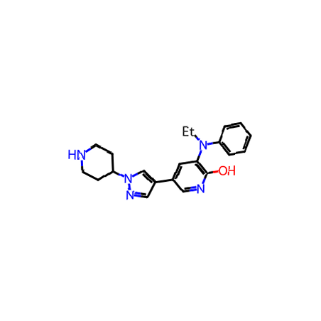 CCN(c1ccccc1)c1cc(-c2cnn(C3CCNCC3)c2)cnc1O